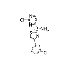 N/C(=C1\NC(c2cccc(Cl)c2)=CS1)c1ccnc(Cl)n1